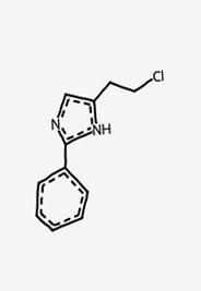 ClCCc1cnc(-c2ccccc2)[nH]1